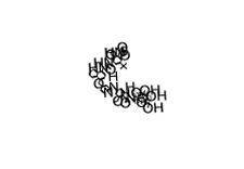 COc1cc(Nc2cc(Oc3ccc(NC(=O)Nc4cc(C(C)(C)C)cc(NS(C)(=O)=O)c4OC)c4ccccc34)ccn2)ccc1C(=O)NC[C@@H]1O[C@H](CO)[C@@H](O)[C@H](O)[C@H]1O